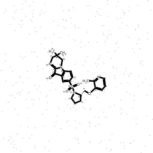 Cc1ncccc1OC[C@@H]1CCCN1S(=O)(=O)c1ccc2c(c1)C(=O)C1=NCC(C)(C)CN12